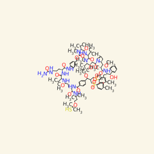 CC[C@H](C)[C@@H]([C@@H](CC(=O)N1CCC[C@H]1[C@H](OC)[C@@H](C)C(=O)N[C@H](C)[C@@H](O)c1ccccc1)OC)N(C)C(=O)[C@@H](NC(=O)C(C(C)C)N(C)C(=O)OCc1ccc(NC(=O)[C@H](CCCNC(N)=O)NC(=O)C(NC(=O)CC[C@H](NC(=O)c2ccc(C(=O)C(CS(=O)(=O)c3ccc(C)cc3)CS(=O)(=O)c3ccc(C)cc3)cc2)C(=O)NC(C)(C)CCOC(C)(C)S)C(C)C)cc1)C(C)C